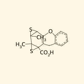 CC12SC1C1=C(Cc3ccccc3O1)C1(C(=O)O)SC12C